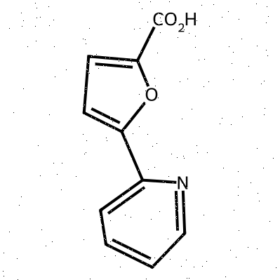 O=C(O)c1ccc(-c2ccccn2)o1